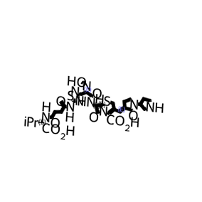 CC(C)[C@H](NC(=O)CCC(=O)Nc1nc(/C(=N\O)C(=O)N[C@@H]2C(=O)N3C(C(=O)O)=C(/C=C4\CCN(C5CCNC5)C4=O)CS[C@H]23)ns1)C(=O)O